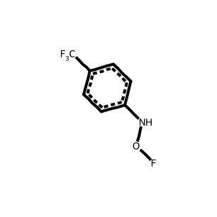 FONc1ccc(C(F)(F)F)cc1